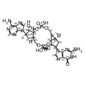 C[C@@]12CO[P@](=O)(S)O[C@@H]3[C@@H](COP(=O)(O)O[C@]14[C@@H](O)[C@H](n1cnc5c(=O)[nH]c(N)nc51)C[C@@H]42)C[C@@](C)(n1cnc2c(N)ncnc21)[C@@H]3O